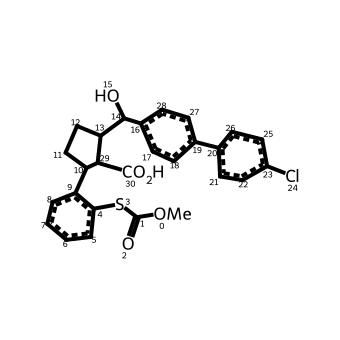 COC(=O)Sc1ccccc1C1CCC(C(O)c2ccc(-c3ccc(Cl)cc3)cc2)C1C(=O)O